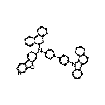 c1ccc2c(c1)cc(N(c1ccc(-c3ccc(-n4c5ccccc5c5ccc6ccccc6c54)cc3)cc1)c1ccc3c(c1)oc1cnccc13)c1ccccc12